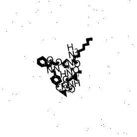 C=CCCCCC[C@H](N)C(=O)N1C[C@H](Oc2nc(-c3ccc(C(F)(F)F)cc3)nc3c2oc2ccccc23)C[C@H]1C(=O)N[C@]1(C(=O)NS(=O)(=O)C2CC2)C[C@H]1C=C